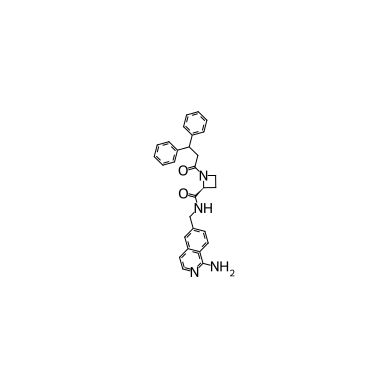 Nc1nccc2cc(CNC(=O)[C@@H]3CCN3C(=O)CC(c3ccccc3)c3ccccc3)ccc12